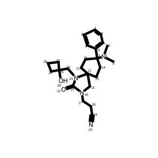 CN(C)C1(c2ccccc2)CCC2(CC1)CN(CCC#N)C(=O)N2CC1(O)CCC1